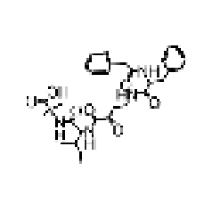 CCC(C)C(NC(=O)C(=O)CCNC(=O)C(Cc1ccccc1)NC(=O)Cc1ccccc1)C(=O)NC(C)(C)C(=O)O